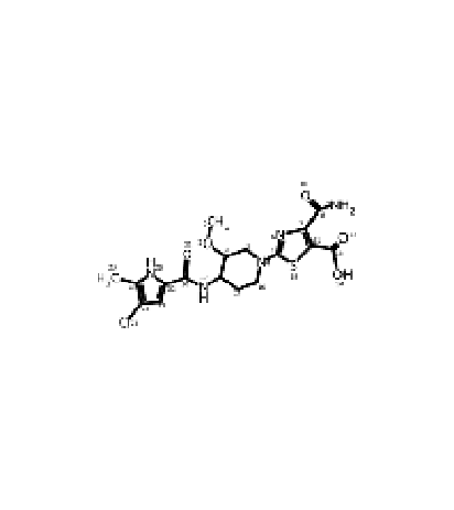 COC1CN(c2nc(C(N)=O)c(C(=O)O)s2)CCC1NC(=O)c1cc(Cl)c(C)[nH]1